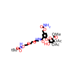 COC(=O)[C@H]1O[C@@H](Oc2ccc(COC(N)=O)cc2C(=O)NCCOCCOCCONC(=O)OC(C)(C)C)[C@H](O)[C@@H](OC(C)=O)[C@@H]1OC(C)=O